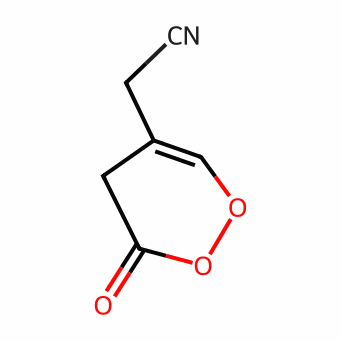 N#CCC1=COOC(=O)C1